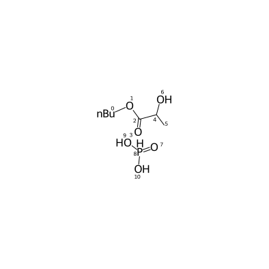 CCCCOC(=O)C(C)O.O=[PH](O)O